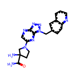 NC(=O)C1(N)CCN(c2cnc3nnn(Cc4ccc5ncccc5c4)c3n2)C1